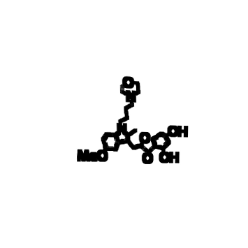 COc1ccc2c(c1)c(/C=C1\Oc3cc(O)cc(O)c3C1=O)c(C)n2CCCCN1CCOCC1